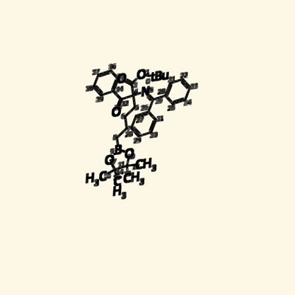 CC(C)(C)OC(=O)C(CCCCB1OC(C)(C)C(C)(C)O1)(N=C(c1ccccc1)c1ccccc1)C(=O)c1ccccc1